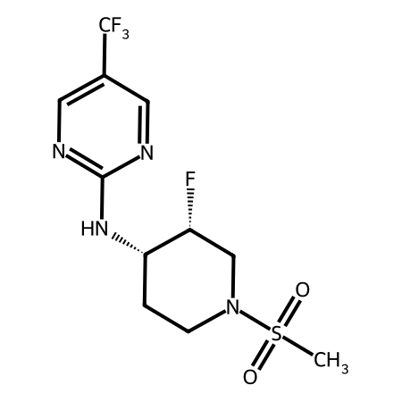 CS(=O)(=O)N1CC[C@H](Nc2ncc(C(F)(F)F)cn2)[C@H](F)C1